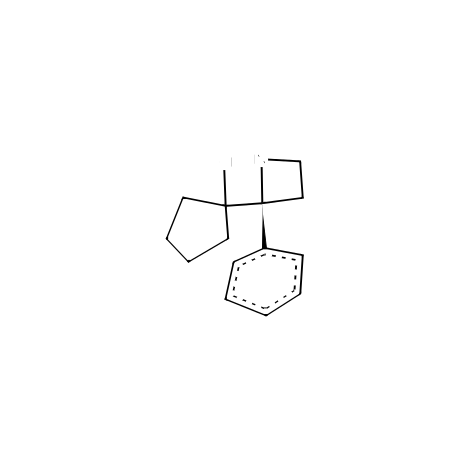 OC1([C@@]2(c3ccccc3)CCN2)CCCC1